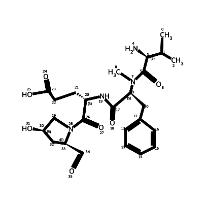 CC(C)[C@H](N)C(=O)N(C)[C@@H](Cc1ccccc1)C(=O)N[C@@H](CCC(=O)O)C(=O)N1C[C@H](O)C[C@@H]1C=O